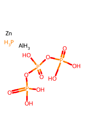 O=P(O)(O)OP(=O)(O)OP(=O)(O)O.P.[AlH3].[Zn]